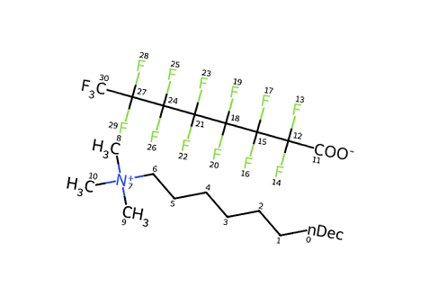 CCCCCCCCCCCCCCCC[N+](C)(C)C.O=C([O-])C(F)(F)C(F)(F)C(F)(F)C(F)(F)C(F)(F)C(F)(F)C(F)(F)F